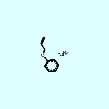 C=CCOc1ccccc1.[Na].[Na]